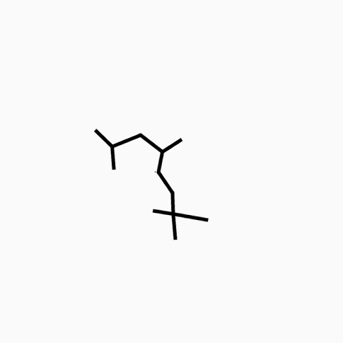 CC(C)CC(C)[CH]CC(C)(C)C